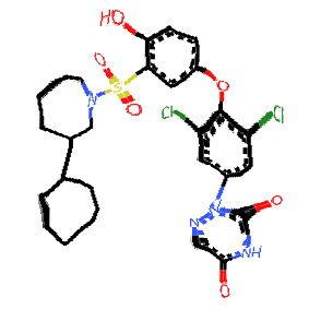 O=c1cnn(-c2cc(Cl)c(Oc3ccc(O)c(S(=O)(=O)N4CCCC(C5CCCCC5)C4)c3)c(Cl)c2)c(=O)[nH]1